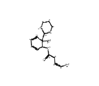 CC/C=C\CC(=O)OC1C=CC=CC1(Br)C1SCCCS1